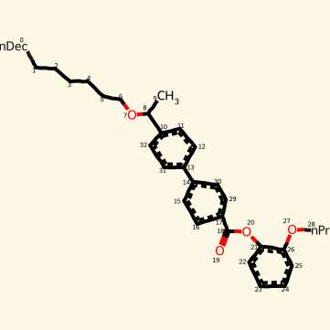 CCCCCCCCCCCCCCCCOC(C)c1ccc(-c2ccc(C(=O)Oc3ccccc3OCCC)cc2)cc1